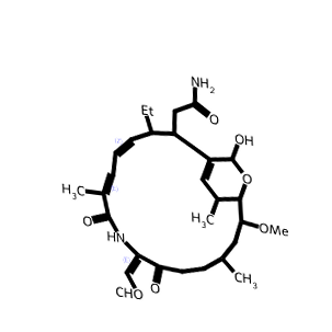 CCC1/C=C\C=C(/C)C(=O)N/C(=C/C=O)C(=O)CCC(C)CC(OC)C2OC(O)C(=CC2C)C1CC(N)=O